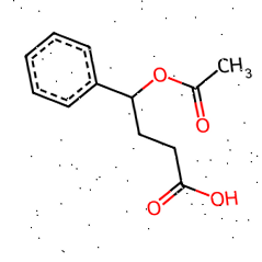 CC(=O)OC(CCC(=O)O)c1ccccc1